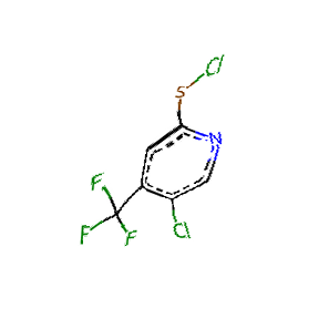 FC(F)(F)c1cc(SCl)ncc1Cl